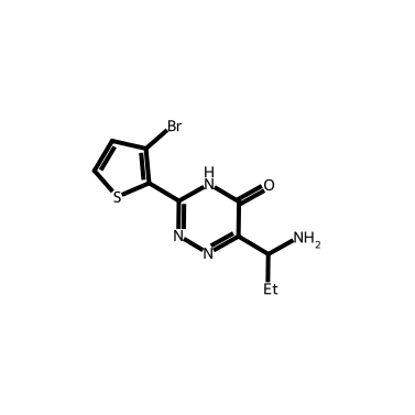 CCC(N)c1nnc(-c2sccc2Br)[nH]c1=O